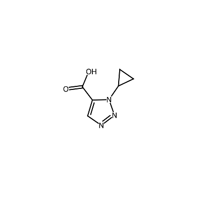 O=C(O)c1cnnn1C1CC1